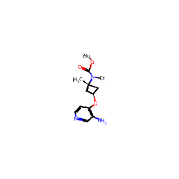 CCN(C(=O)OC(C)(C)C)[C@]1(C)C[C@@H](Oc2ccncc2N)C1